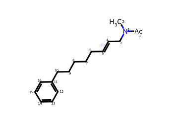 CC(=O)N(C)C/C=C/CCCCCc1ccccc1